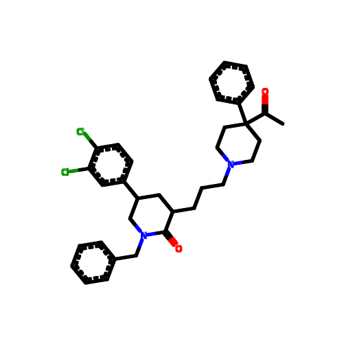 CC(=O)C1(c2ccccc2)CCN(CCCC2CC(c3ccc(Cl)c(Cl)c3)CN(Cc3ccccc3)C2=O)CC1